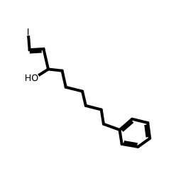 OC(C=CI)CCCCCCc1ccccc1